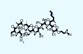 C/C=C/C[C@@H](C)[C@@H](OC(C)=O)[C@@H](C(=O)N[C@@H](CC)C(=O)OCCN(C)C(C)=O)N(C)C(=O)[C@H](C(C)C)N(C)C(=O)[C@H](CC(C)C)N(C)C(=O)[C@H](CC(C)C)N(C)C(=O)[C@@H](C)NC(=O)[C@H](C)NC(=O)C(CC(C)C)N(C)C(=O)[C@@H](N)C(C)C